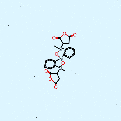 C[Si](C)(O[Si](O[Si](C)(C)C1CC(=O)OC1=O)(c1ccccc1)c1ccccc1)C1CC(=O)OC1=O